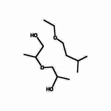 CC(O)COC(C)CO.CCOCCC(C)C